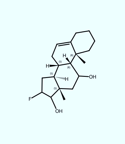 C[C@]12CCCCC1=CC[C@@H]1[C@H]2C(O)C[C@]2(C)C(O)C(F)C[C@@H]12